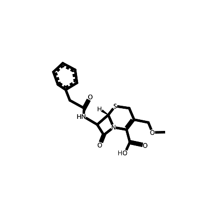 COCC1=C(C(=O)O)N2C(=O)C(NC(=O)Cc3ccccc3)[C@@H]2SC1